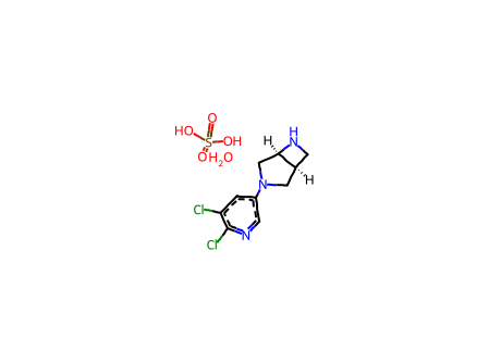 Clc1cc(N2C[C@@H]3CN[C@@H]3C2)cnc1Cl.O.O=S(=O)(O)O